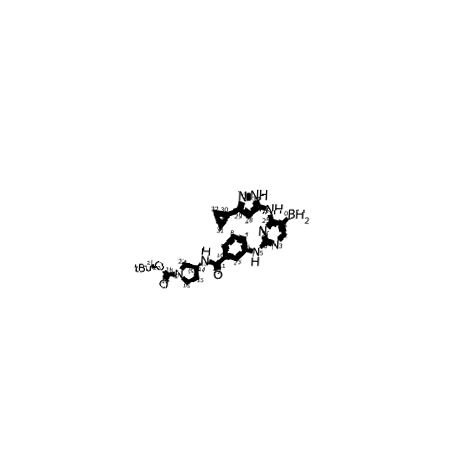 Bc1cnc(Nc2cccc(C(=O)N[C@H]3CCN(C(=O)OC(C)(C)C)C3)c2)nc1Nc1cc(C2CC2)n[nH]1